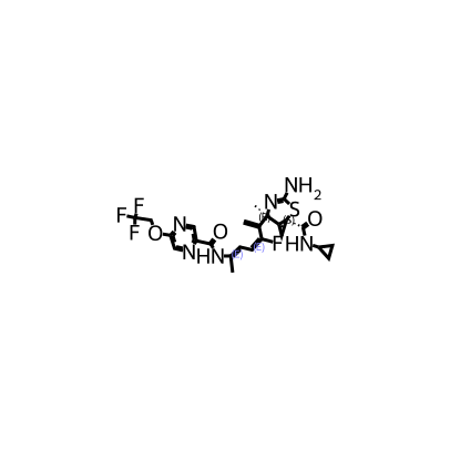 C=C(/C(F)=C\C=C(/C)NC(=O)c1cnc(OCC(F)(F)F)cn1)[C@@]1(C)N=C(N)S[C@@]2(C(=O)NC3CC3)C=C12